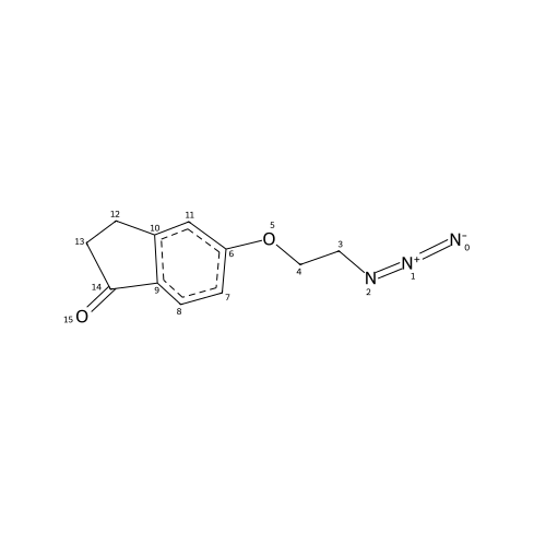 [N-]=[N+]=NCCOc1ccc2c(c1)CCC2=O